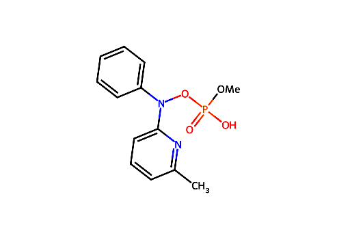 COP(=O)(O)ON(c1ccccc1)c1cccc(C)n1